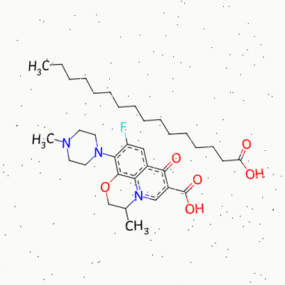 CC1COc2c(N3CCN(C)CC3)c(F)cc3c(=O)c(C(=O)O)cn1c23.CCCCCCCCCCCCCCCC(=O)O